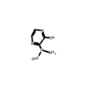 NN(C=O)c1nccnc1O